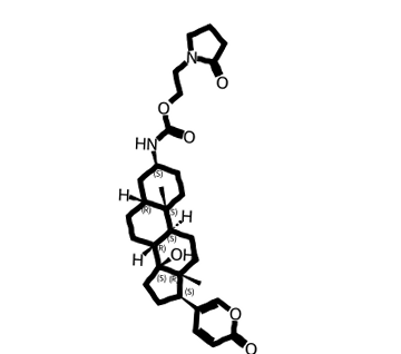 C[C@]12CC[C@H](NC(=O)OCCN3CCCC3=O)C[C@H]1CC[C@@H]1[C@@H]2CC[C@]2(C)[C@@H](c3ccc(=O)oc3)CC[C@]12O